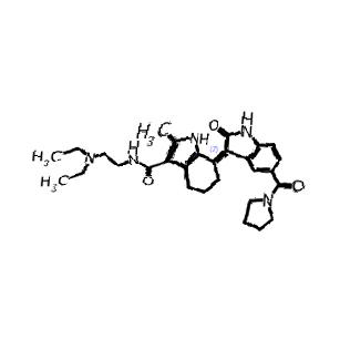 CCN(CC)CCNC(=O)c1c(C)[nH]c2c1CCC/C2=C1/C(=O)Nc2ccc(C(=O)N3CCCC3)cc21